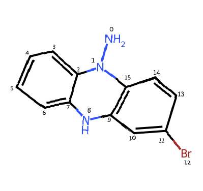 NN1c2ccccc2Nc2cc(Br)ccc21